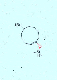 C[SiH](C)O/C1=C/CCCC(C(C)(C)C)CCCC1